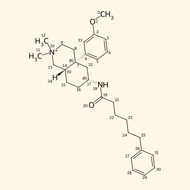 COc1cccc([C@@]23CC[N+](C)(C)C[C@H]2CC[C@@H](NC(=O)CCCCCc2ccccc2)C3)c1